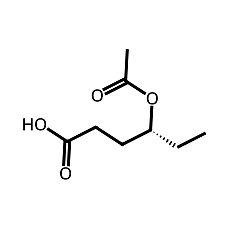 CC[C@H](CCC(=O)O)OC(C)=O